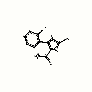 Cc1nc(-c2ccccc2F)c(C(N)=O)o1